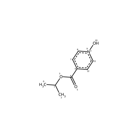 CC(C)OC(=O)c1cc[n+](O)cc1